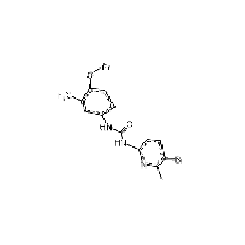 Cc1nc(NC(=O)Nc2ccc(OC(C)C)c(C(F)(F)F)c2)ccc1Br